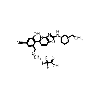 CCN1CCC[C@@H](Nc2nc3nc(-c4c(O)cc(C#N)cc4COC)ccc3o2)C1.O=C(O)C(F)(F)F